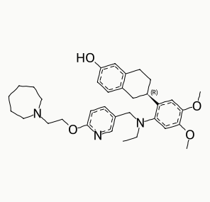 CCN(Cc1ccc(OCCN2CCCCCC2)nc1)c1cc(OC)c(OC)cc1[C@@H]1CCc2cc(O)ccc2C1